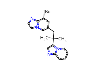 CC(C)(C)c1cc(CC(C)(C)c2cnc3ccccn23)cn2ccnc12